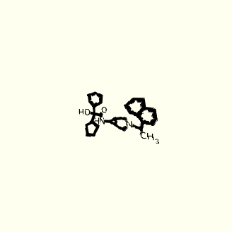 CC(c1cccc2ccccc12)N1CC2C(C1)C2NC(=O)C(O)(c1ccccc1)C1CCCC1